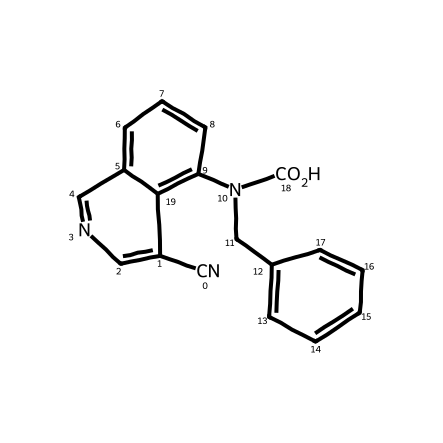 N#Cc1cncc2cccc(N(Cc3ccccc3)C(=O)O)c12